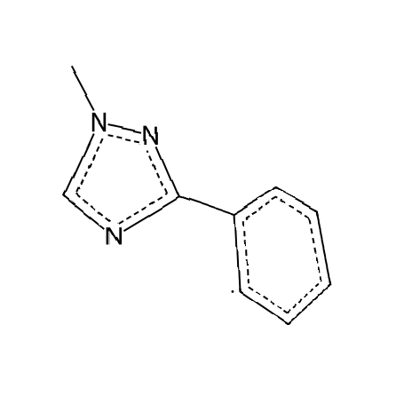 Cn1cnc(-c2[c]cccc2)n1